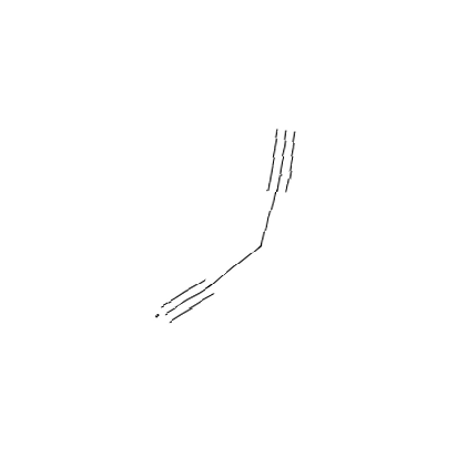 [C]#CCC#C